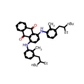 CCCCC(CC)Cc1cccc(Nc2ccc(Nc3cccc(CC(CC)CCCC)c3C)c3c2C(=O)c2ccccc2C3=O)c1C